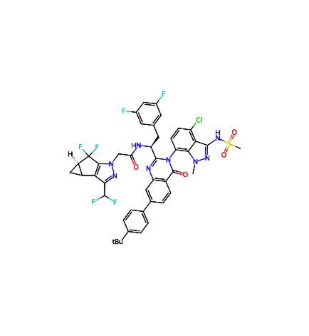 Cn1nc(NS(C)(=O)=O)c2c(Cl)ccc(-n3c([C@H](Cc4cc(F)cc(F)c4)NC(=O)Cn4nc(C(F)F)c5c4C(F)(F)[C@@H]4CC54)nc4cc(-c5ccc(C(C)(C)C)cc5)ccc4c3=O)c21